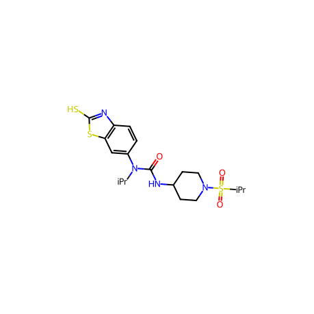 CC(C)N(C(=O)NC1CCN(S(=O)(=O)C(C)C)CC1)c1ccc2nc(S)sc2c1